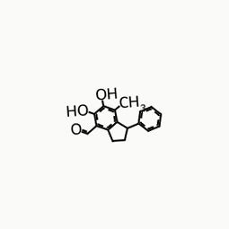 Cc1c(O)c(O)c(C=O)c2c1C(c1ccccc1)CC2